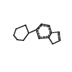 C1=Cc2ccc(C3CCCCC3)cc2C1